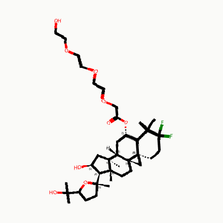 CC(C)(O)C1CC[C@@](C)([C@H]2[C@@H](O)C[C@@]3(C)[C@@H]4C[C@H](OC(=O)COCCOCCOCCO)C5C(C)(C)C(F)(F)CC[C@@]56C[C@@]46CC[C@]23C)O1